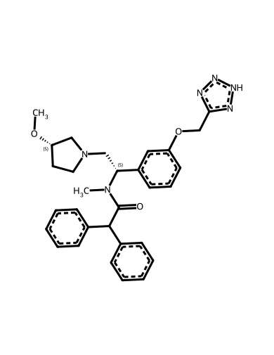 CO[C@H]1CCN(C[C@H](c2cccc(OCc3nn[nH]n3)c2)N(C)C(=O)C(c2ccccc2)c2ccccc2)C1